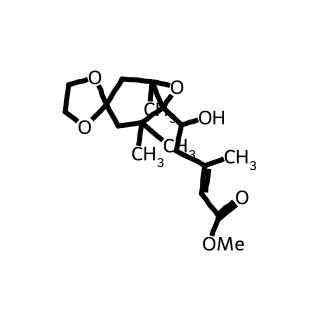 COC(=O)/C=C(\C)CC(O)C12OC1(C)CC1(CC2(C)C)OCCO1